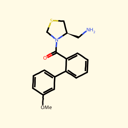 COc1cccc(-c2ccccc2C(=O)N2CSC[C@H]2CN)c1